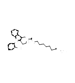 COC(=O)CCCCCCNC(=O)N1CCc2c(c3ccccc3n2-c2ccccc2Cl)C1